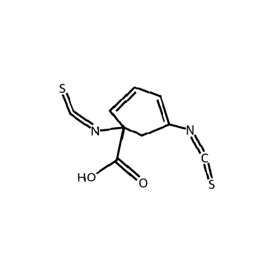 O=C(O)C1(N=C=S)C=CC=C(N=C=S)C1